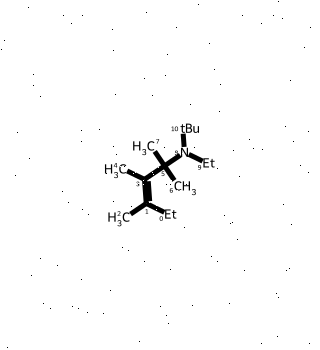 CC/C(C)=C(/C)C(C)(C)N(CC)C(C)(C)C